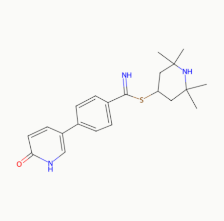 CC1(C)CC(SC(=N)c2ccc(-c3ccc(=O)[nH]c3)cc2)CC(C)(C)N1